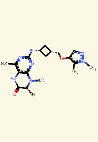 Cc1nc(N[C@H]2C[C@@H](COc3cnn(C)c3C(F)(F)F)C2)nc2c1NC(=O)[C@H](C(C)C)N2C